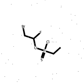 CCP(=S)(Cl)OC(F)CBr